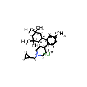 Cc1ccc(C2CCN(CC3CC3)CC2)c(C2CC(C)(C)CC(C)(C)C2)c1.Cl